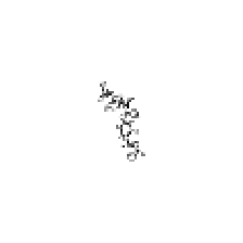 CC(=O)OC(C)c1ccc(OC(=O)N(C)C(C)(C)C(C)SN(C)C)cc1